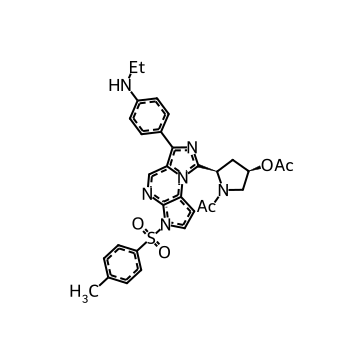 CCNc1ccc(-c2nc([C@H]3C[C@@H](OC(C)=O)CN3C(C)=O)n3c2cnc2c3ccn2S(=O)(=O)c2ccc(C)cc2)cc1